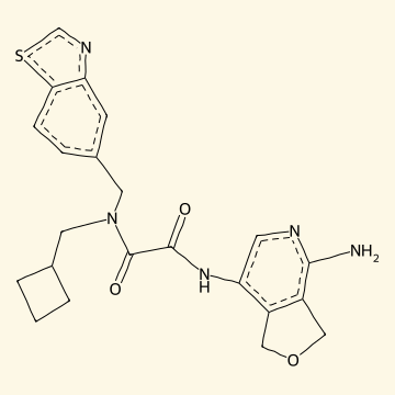 Nc1ncc(NC(=O)C(=O)N(Cc2ccc3scnc3c2)CC2CCC2)c2c1COC2